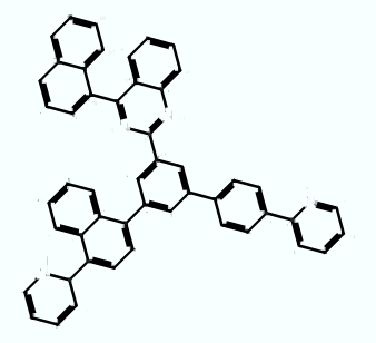 C1=CNC(c2ccc(-c3cc(-c4ccc(-c5ccccn5)cc4)cc(-c4nc(-c5cccc6ccccc56)c5ccccc5n4)c3)c3ccccc23)C=C1